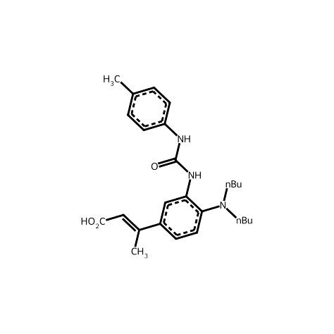 CCCCN(CCCC)c1ccc(/C(C)=C/C(=O)O)cc1NC(=O)Nc1ccc(C)cc1